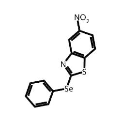 O=[N+]([O-])c1ccc2sc([Se]c3ccccc3)nc2c1